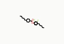 CCCCCc1ccc(OC(=O)C2CCC(CCCCC)CC2)c(F)c1F